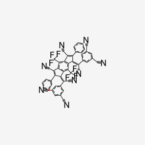 N#CC1=C(c2ccccc2)/C(=C(/C#N)c2cc(C#N)cc(C#N)c2)c2c1c(C(F)(F)F)c1c(c2C(F)(F)F)/C(=C(\C#N)c2cc(C#N)cc(C#N)c2)C(c2ccccc2)=C1C#N